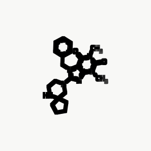 Cn1c(=O)c2c(nc(N3CCNC4(CCCC4)C3)n2Cc2ccccc2)n(C)c1=O